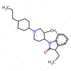 CCCC1CCC(N2CCC(N3C(=O)C(CC)c4ccccc43)C(C)C2)CC1